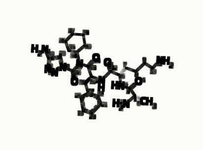 C[C@H](N)C(=O)N[C@@H](CCCCN)C(=O)N[C@@H](Cc1ccccc1)C(=O)N(C(=O)n1cc(N)nn1)C1CCCCC1